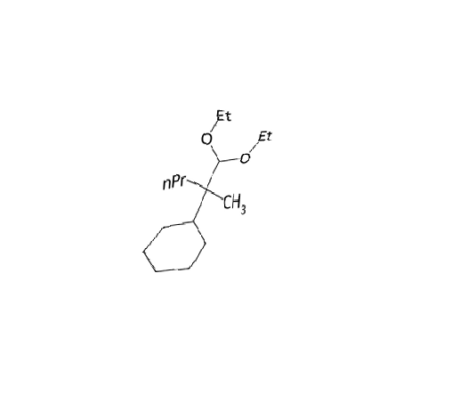 CCCC(C)(C1CCCCC1)C(OCC)OCC